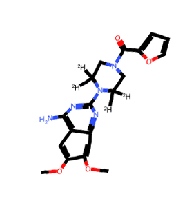 [2H]C1([2H])CN(C(=O)c2ccco2)CC([2H])([2H])N1c1nc(N)c2cc(OC)c(OC)cc2n1